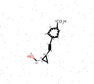 O=C(O)c1ccc(C#C[C@H]2C[C@@H]2CO)cc1